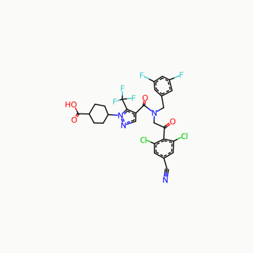 N#Cc1cc(Cl)c(C(=O)CN(Cc2cc(F)cc(F)c2)C(=O)c2cnn(C3CCC(C(=O)O)CC3)c2C(F)(F)F)c(Cl)c1